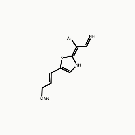 COC/C=C/C1=CN/C(=C(\C=N)C(C)=O)S1